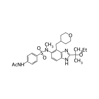 CCOC(C)(C)c1nc2c(CC3CCOCC3)c(N(C)S(=O)(=O)c3ccc(NC(C)=O)cc3)ccc2[nH]1